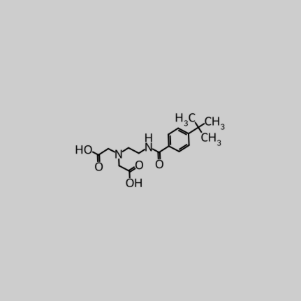 CC(C)(C)c1ccc(C(=O)NCCN(CC(=O)O)CC(=O)O)cc1